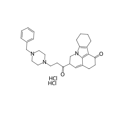 Cl.Cl.O=C1CCC2=CC(C(=O)CCN3CCN(Cc4ccccc4)CC3)Cn3c4c(c1c32)CCCC4